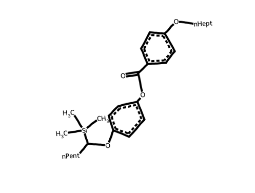 CCCCCCCOc1ccc(C(=O)Oc2ccc(OC(CCCCC)[Si](C)(C)C)cc2)cc1